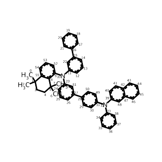 CC1(C)CCC(C)(C)c2c(N(c3cccc(-c4ccccc4)c3)c3cccc(-c4ccc(N(c5ccccc5)c5ccc6ccccc6c5)cc4)c3)cccc21